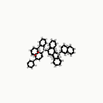 c1ccc(-c2ccc(N(c3ccccc3-c3ccccc3)c3cc4c5ccccc5n(-c5ccc6ccccc6c5)c4c4ccccc34)cc2)cc1